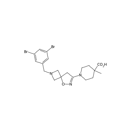 CC1(C(=O)O)CCN(C2=NOC3(C2)CN(Cc2cc(Br)cc(Br)c2)C3)CC1